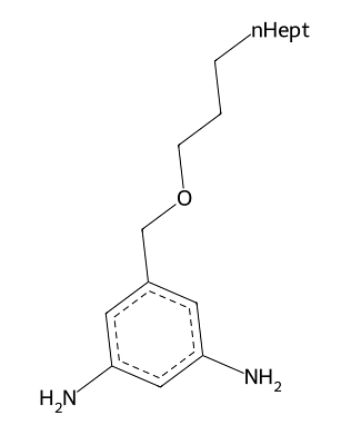 CCCCCCCCCCOCc1cc(N)cc(N)c1